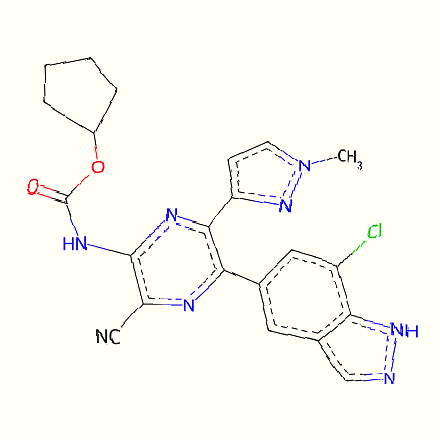 Cn1ccc(-c2nc(NC(=O)OC3CCCC3)c(C#N)nc2-c2cc(Cl)c3[nH]ncc3c2)n1